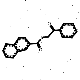 O=C(CSC(=O)c1ccc2ccccc2c1)c1ccccc1